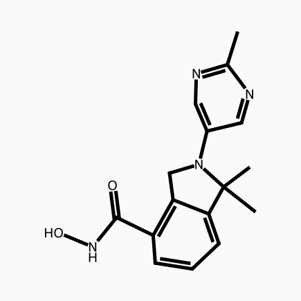 Cc1ncc(N2Cc3c(C(=O)NO)cccc3C2(C)C)cn1